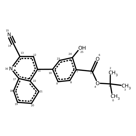 CC(C)(C)OC(=O)c1ccc(-c2cc(C#N)nc3ccccc23)cc1O